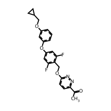 CC(=O)c1ccc(OCc2c(F)cc(Oc3cccc(OCC4CC4)c3)cc2F)nn1